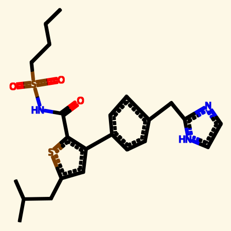 CCCCS(=O)(=O)NC(=O)c1sc(CC(C)C)cc1-c1ccc(Cc2ncc[nH]2)cc1